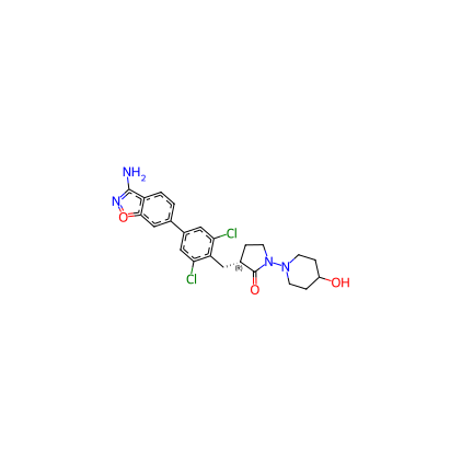 Nc1noc2cc(-c3cc(Cl)c(C[C@@H]4CCN(N5CCC(O)CC5)C4=O)c(Cl)c3)ccc12